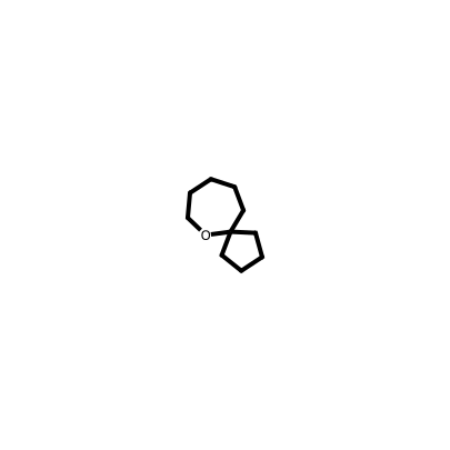 C1CCOC2(CC1)CCCC2